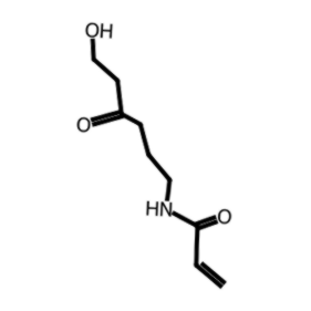 C=CC(=O)NCCCC(=O)CCO